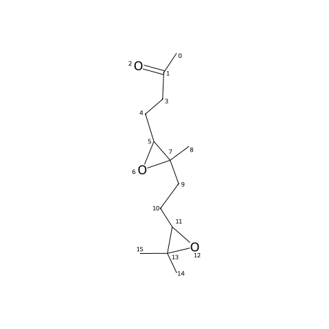 CC(=O)CCC1OC1(C)CCC1OC1(C)C